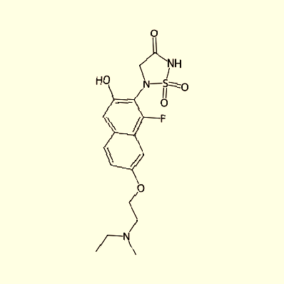 CCN(C)CCOc1ccc2cc(O)c(N3CC(=O)NS3(=O)=O)c(F)c2c1